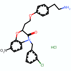 Cl.NCCc1ccc(OCCC2Oc3cc([N+](=O)[O-])ccc3N(Cc3cccc(Cl)c3)C2=O)cc1